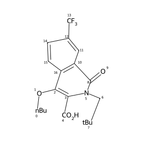 CCCCOc1c(C(=O)O)n(CC(C)(C)C)c(=O)c2cc(C(F)(F)F)ccc12